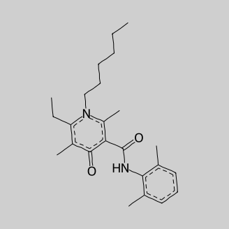 CCCCCCn1c(C)c(C(=O)Nc2c(C)cccc2C)c(=O)c(C)c1CC